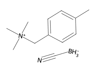 Cc1ccc(C[N+](C)(C)C)cc1.[BH3-]C#N